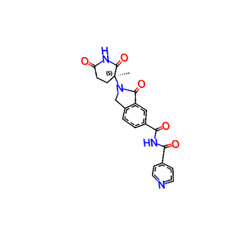 C[C@]1(N2Cc3ccc(C(=O)NC(=O)c4ccncc4)cc3C2=O)CCC(=O)NC1=O